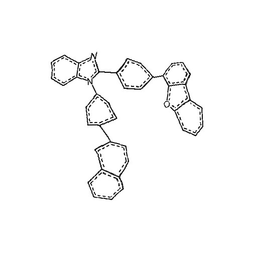 c1ccc2cc(-c3ccc(-n4c(-c5ccc(-c6cccc7c6oc6ccccc67)cc5)nc5ccccc54)cc3)ccc2c1